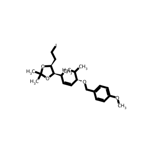 COc1ccc(CO[C@H](/C=C\C(C)[C@H]2OC(C)(C)O[C@H]2CCI)C(C)C)cc1